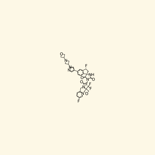 O=C1N[C@]2(C[C@@H](F)c3cc(-c4cnn(C5CN(C6COC6)C5)c4)ccc32)C(=O)N1CC(=O)N(Cc1ccc(F)cn1)C1(C(F)(F)F)COC1